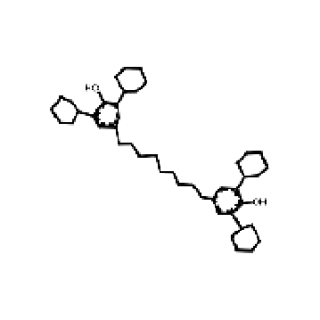 Oc1c(C2CCCCC2)cc(CCCCCCCCCc2cc(C3CCCCC3)c(O)c(C3CCCCC3)c2)cc1C1CCCCC1